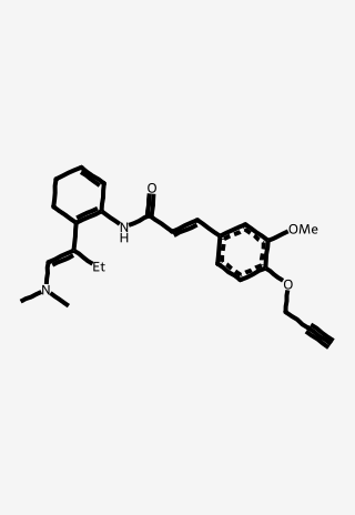 C#CCOc1ccc(/C=C/C(=O)NC2=C(/C(=C/N(C)C)CC)CCC=C2)cc1OC